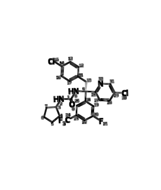 O=C(NC1CCCC1)N[C@](Cc1ccc(Cl)cc1)(c1cc(F)cc(C(F)(F)F)c1)c1ccc(Cl)cn1